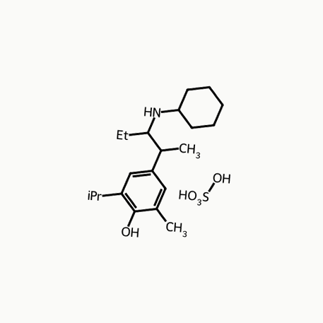 CCC(NC1CCCCC1)C(C)c1cc(C)c(O)c(C(C)C)c1.O=S(=O)(O)O